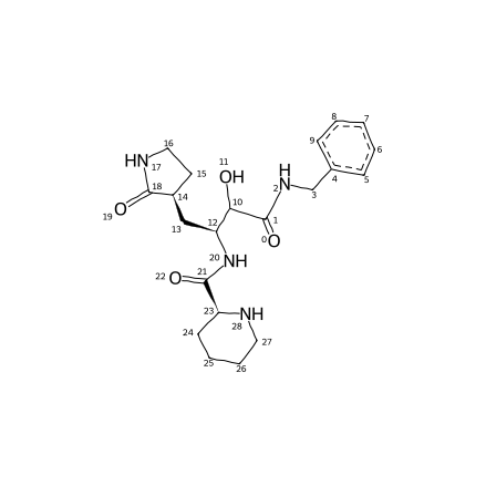 O=C(NCc1ccccc1)C(O)[C@H](C[C@@H]1CCNC1=O)NC(=O)[C@@H]1CCCCN1